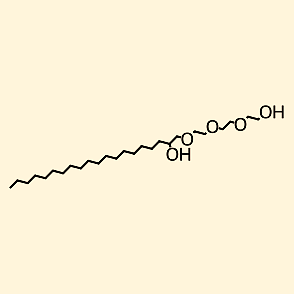 CCCCCCCCCCCCCCCCCCC(O)COCCOCCOCCO